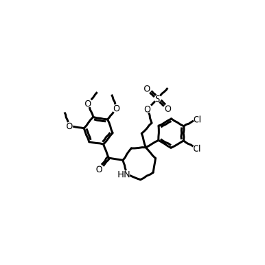 COc1cc(C(=O)C2CC(CCOS(C)(=O)=O)(c3ccc(Cl)c(Cl)c3)CCCN2)cc(OC)c1OC